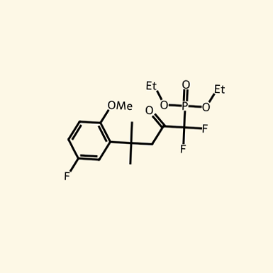 CCOP(=O)(OCC)C(F)(F)C(=O)CC(C)(C)c1cc(F)ccc1OC